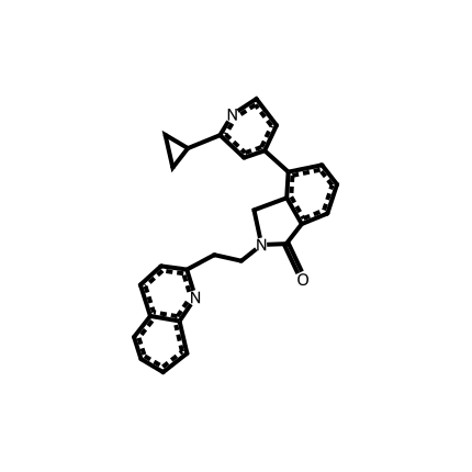 O=C1c2cccc(-c3ccnc(C4CC4)c3)c2CN1CCc1ccc2ccccc2n1